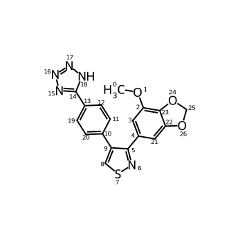 COc1cc(-c2nscc2-c2ccc(-c3nnn[nH]3)cc2)cc2c1OCO2